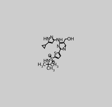 CC(C)(C)NS(=O)(=O)c1ccc(-c2ncc(CO)c(Nc3cc(C4CC4)[nH]n3)n2)s1